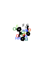 O=C(CCC(F)(F)F)Nc1c(F)ccc(NC(=O)c2cc(N[C@@H]3OC3[C@H]3[C@H](c4ccc(F)c(Cl)c4)C3(Cl)Cl)ccc2Cl)c1F